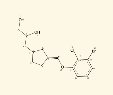 OCC(O)CN1CC[C@H](COc2cccc(Br)c2Cl)C1